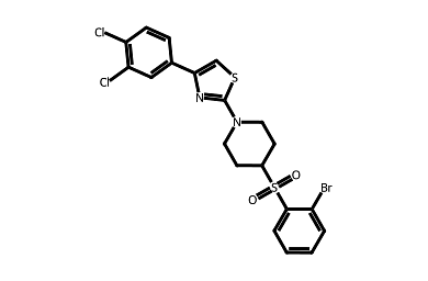 O=S(=O)(c1ccccc1Br)C1CCN(c2nc(-c3ccc(Cl)c(Cl)c3)cs2)CC1